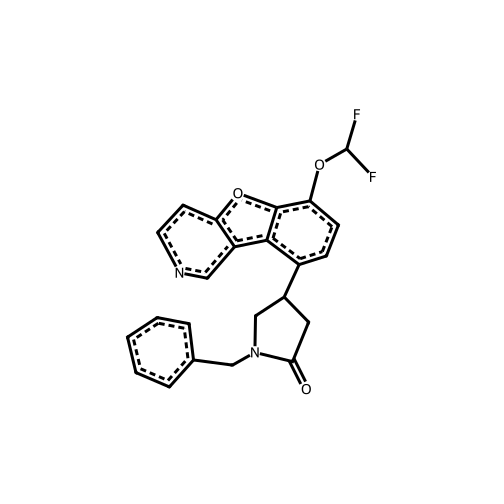 O=C1CC(c2ccc(OC(F)F)c3oc4ccncc4c23)CN1Cc1ccccc1